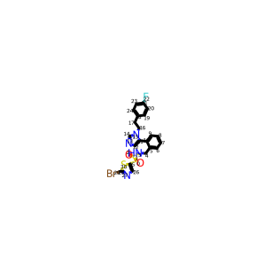 O=S(=O)(NCc1ccccc1-c1cncn1CCc1ccc(F)cc1)c1cnc(Br)s1